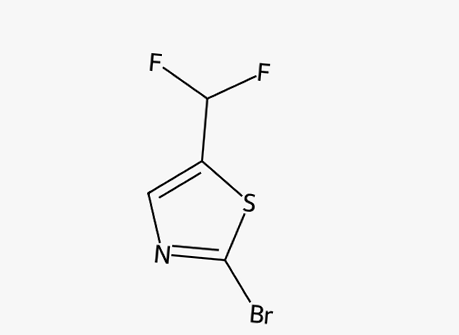 FC(F)c1cnc(Br)s1